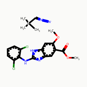 COC(=O)c1cc2nc(Nc3c(Cl)cccc3Cl)[nH]c2cc1OC.C[Si](C)(C)C=[N+]=[N-]